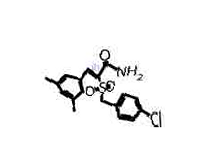 Cc1cc(C)cc(/C=C(/C(N)=O)S(=O)(=O)Cc2ccc(Cl)cc2)c1